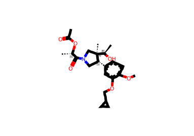 COc1ccc([C@@H]2CN(C(=O)[C@H](C)OC(C)=O)C[C@@]2(C)[C@@H](C)O)cc1OCC1CC1